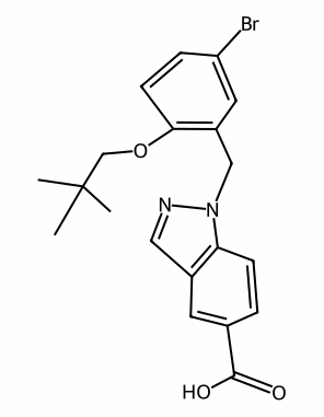 CC(C)(C)COc1ccc(Br)cc1Cn1ncc2cc(C(=O)O)ccc21